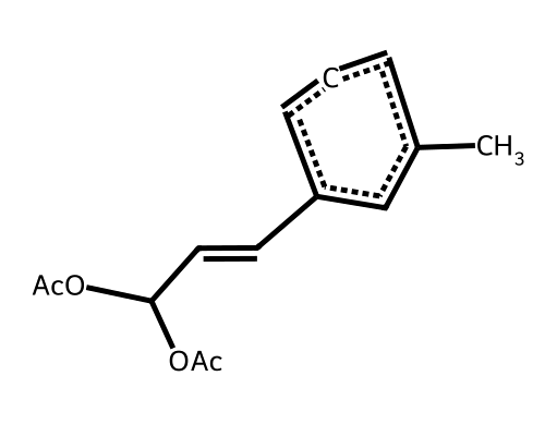 CC(=O)OC(C=Cc1cccc(C)c1)OC(C)=O